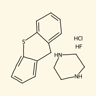 C1CNCCN1.Cl.F.c1ccc2c(c1)Cc1ccccc1S2